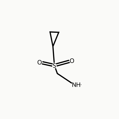 [NH]CS(=O)(=O)C1CC1